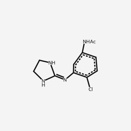 CC(=O)Nc1ccc(Cl)c(N=C2NCCN2)c1